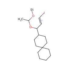 CCOC(C)OC(/C=C/I)C1CCC2(CCCCC2)CC1